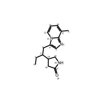 CCC(Cc1cnc2c(C)cccn12)C1CNC(=O)C1